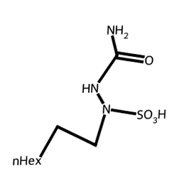 CCCCCCCCN(NC(N)=O)S(=O)(=O)O